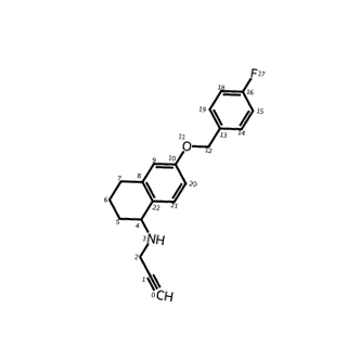 C#CCNC1CCCc2cc(OCc3ccc(F)cc3)ccc21